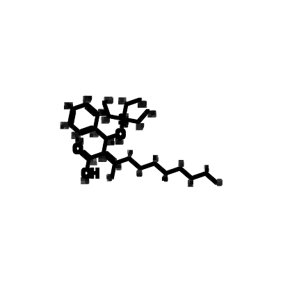 CCCCCCCCC(C)=C(C(=O)O)C(O[Si](CC)(CC)CC)c1ccccc1